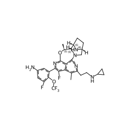 Cc1c(CCNC2CC2)nc2c3c(nc(-c4cc(N)cc(F)c4OC(F)(F)F)c(F)c13)O[C@@H](C)[C@@H]1[C@@H]3CC[C@H](CN21)N3